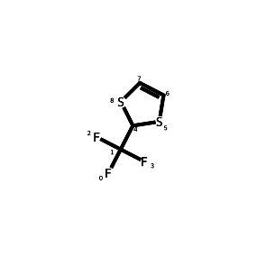 FC(F)(F)C1SC=CS1